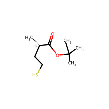 C[C@@H](CCS)C(=O)OC(C)(C)C